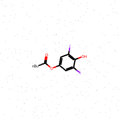 CCCCC(=O)Oc1cc(I)c(O)c(I)c1